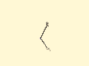 CCCCCCCC/C=C\CCCCCCCCCCCCN=C=O